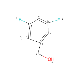 Cc1c(F)cc(F)cc1CO